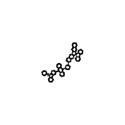 c1ccc(-n2c3ccccc3c3cc(-c4c5ccccc5c(-c5cccc(-c6ccc7cc8c(cc7c6)C6(c7ccccc7-c7ccccc76)c6cc7ccccc7cc6-8)c5)c5ccccc45)ccc32)cc1